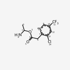 CC(N)OC(=O)Cc1ncc(C(F)(F)F)cc1Cl